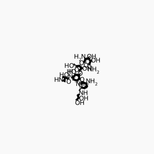 NC[C@@H]1O[C@H](O[C@H]2[C@@H](O)[C@H](O[C@@H]3[C@@H](O)[C@H](NC(=O)C4(O)CNC4)C[C@H](N)[C@H]3O[C@H]3O[C@H](CNCC(O)CO)C=C[C@H]3N)O[C@@H]2CO)[C@H](N)[C@@H](O)[C@@H]1O